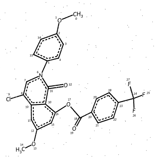 COc1ccc(-n2cc(Cl)c3cc(OC)cc(OC(=O)c4ccc(C(F)(F)F)cc4)c3c2=O)cc1